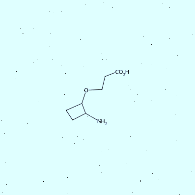 NC1CCC1OCCC(=O)O